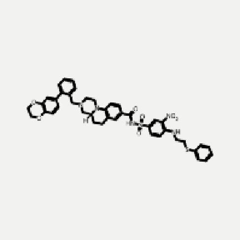 O=C(NS(=O)(=O)c1ccc(NCCSc2ccccc2)c([N+](=O)[O-])c1)c1ccc2c(c1)CC[C@@H]1CN(Cc3ccccc3-c3ccc4c(c3)OCCO4)CCN21